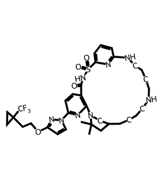 CC1(C)CC2CCCCNCCCCNc3cccc(n3)S(=O)(=O)NC(=O)c3ccc(-n4ccc(OCCC5(C(F)(F)F)CC5)n4)nc3N1C2